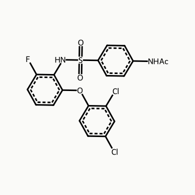 CC(=O)Nc1ccc(S(=O)(=O)Nc2c(F)cccc2Oc2ccc(Cl)cc2Cl)cc1